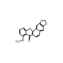 COc1cccc2oc3c(ccc4cc5c(cc43)OCO5)c(=O)c12